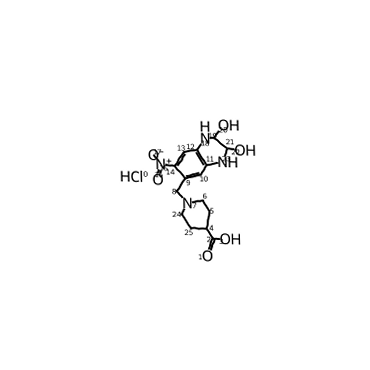 Cl.O=C(O)C1CCN(Cc2cc3c(cc2[N+](=O)[O-])NC(O)C(O)N3)CC1